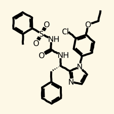 CCOc1ccc(-n2ccnc2[C@H](Cc2ccccc2)NC(=O)NS(=O)(=O)c2ccccc2C)cc1Cl